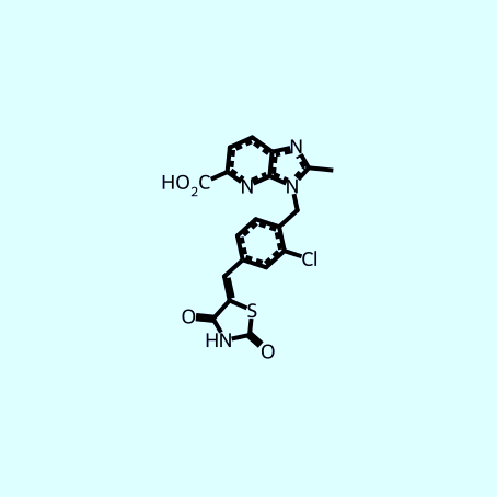 Cc1nc2ccc(C(=O)O)nc2n1Cc1ccc(/C=C2\SC(=O)NC2=O)cc1Cl